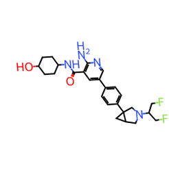 Nc1ncc(-c2ccc(C34CC3CN(C(CF)CF)C4)cc2)cc1C(=O)NC1CCC(O)CC1